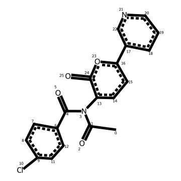 CC(=O)N(C(=O)c1ccc(Cl)cc1)c1ccc(-c2cccnc2)oc1=O